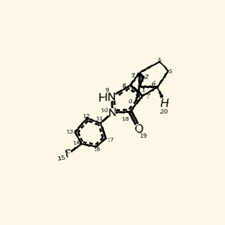 CC12C[C@@]13CC[C@@H]2c1c3[nH]n(-c2ccc(F)cc2)c1=O